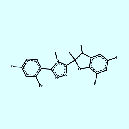 Cn1c(-c2ccc(F)cc2Br)nnc1C1(C)Oc2c(F)cc(F)cc2C1F